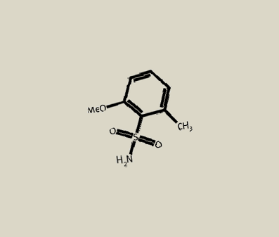 COc1[c]ccc(C)c1S(N)(=O)=O